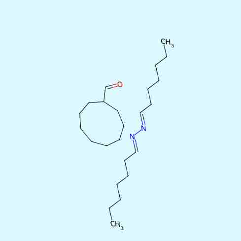 CCCCCCC=NN=CCCCCCC.O=CC1CCCCCCCC1